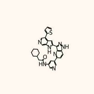 O=C(CC1CCCCC1)Nc1cncc(-c2ccc3[nH]nc(-c4cc5c(-c6cccs6)cncc5[nH]4)c3n2)c1